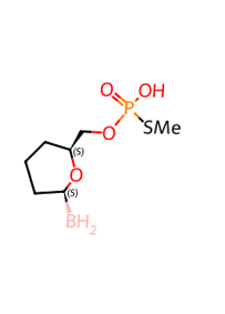 B[C@H]1CCC[C@@H](COP(=O)(O)SC)O1